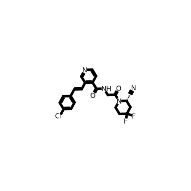 N#C[C@@H]1CC(F)(F)CCN1C(=O)CNC(=O)c1ccncc1/C=C/c1ccc(Cl)cc1